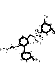 CN(Cc1ccc(OCC(=O)O)c(-c2cccc(N)c2)c1)S(=O)(=O)c1cc(F)cc(F)c1